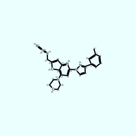 Cc1cccc(-c2ccn(-c3cc(N4CCOCC4)c4oc(CN=[N+]=[N-])cc4n3)n2)c1